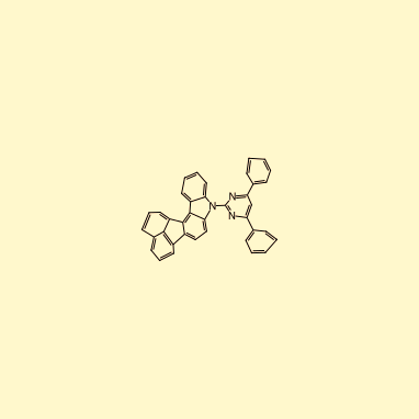 c1ccc(-c2cc(-c3ccccc3)nc(-n3c4ccccc4c4c5c(ccc43)-c3cccc4cccc-5c34)n2)cc1